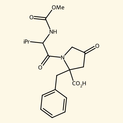 COC(=O)NC(C(=O)N1CC(=O)CC1(Cc1ccccc1)C(=O)O)C(C)C